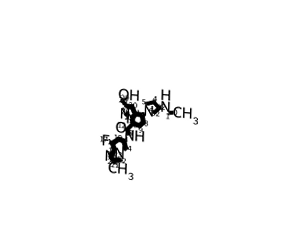 CCNC1CCN(c2ccc(C(=O)Nc3cc(F)c4nc(C)cn4c3)n3nc(CO)cc23)C1